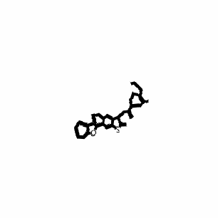 C=C(/C=c1\c(=C)sc2cc3c(ccc4c5ccccc5oc34)cc12)C1=CC(C)=C(/C=C\C)CC1